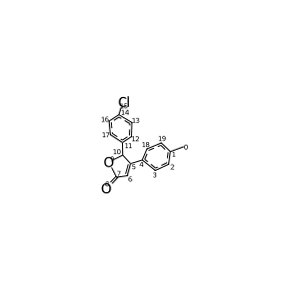 Cc1ccc(C2=CC(=O)OC2c2ccc(Cl)cc2)cc1